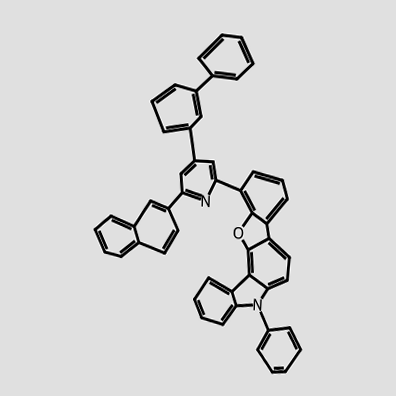 c1ccc(-c2cccc(-c3cc(-c4ccc5ccccc5c4)nc(-c4cccc5c4oc4c5ccc5c4c4ccccc4n5-c4ccccc4)c3)c2)cc1